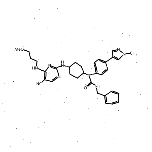 COCCCNc1nc(NC2CCC(N(C(=O)NCc3ccccc3)c3ccc(-c4cnn(C)c4)cc3)CC2)ncc1C#N